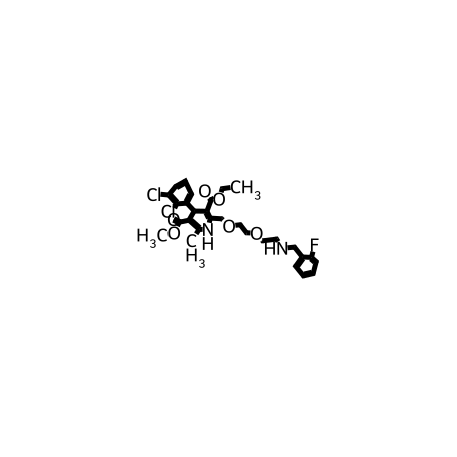 CCOC(=O)C1=C(COCCOCCNCc2ccccc2F)NC(C)=C(C(=O)OC)C1c1cccc(Cl)c1Cl